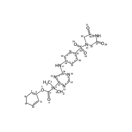 C[N+](C)(C(=O)OC1=CC[CH]C=C1)c1ncnc(Nc2ccc(S(=O)(=O)N3CC(=O)NC(=O)C3)cc2)n1